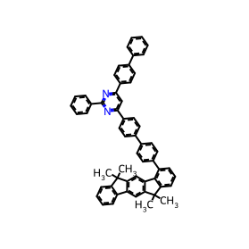 CC1(C)c2ccccc2-c2cc3c(cc21)-c1c(-c2ccc(-c4ccc(-c5cc(-c6ccc(-c7ccccc7)cc6)nc(-c6ccccc6)n5)cc4)cc2)cccc1C3(C)C